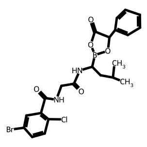 CC(C)CC(NC(=O)CNC(=O)c1cc(Br)ccc1Cl)B1OC(=O)C(c2ccccc2)O1